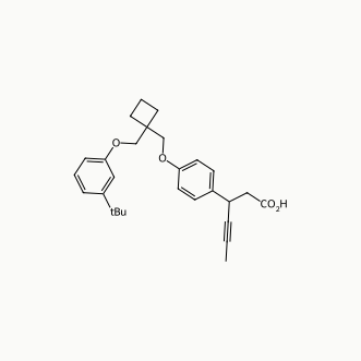 CC#CC(CC(=O)O)c1ccc(OCC2(COc3cccc(C(C)(C)C)c3)CCC2)cc1